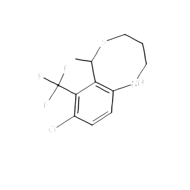 CC1SCCCNc2ccc(Cl)c(C(F)(F)F)c21